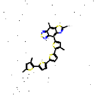 CCCCCCCCc1nc2c(-c3cc(C)c(-c4ccc(-c5ccc(-c6sc(C)cc6C)s5)s4)s3)c3nsnc3c(C)c2s1